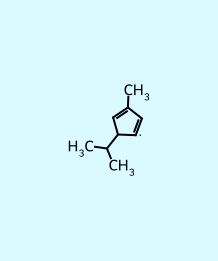 CC1=CC(C(C)C)[C]=C1